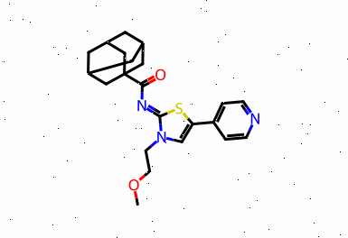 COCCn1cc(-c2ccncc2)s/c1=N\C(=O)C12CC3CC(CC(C3)C1)C2